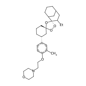 CCC1CC2CCCC(C2)[C@@]12OO[C@@]1(CCC[C@@H](c3ccc(OCCN4CCOCC4)c(C)c3)C1)O2